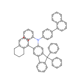 c1ccc(N(c2ccc(-c3cccc4ccccc34)cc2)c2cc3c(cc2-c2cccc4c2CCCC4)-c2ccccc2C3(c2ccccc2)c2ccccc2)cc1